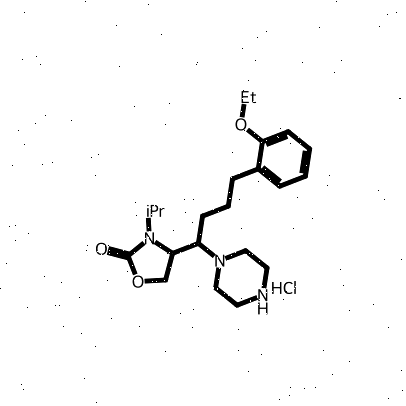 CCOc1ccccc1CCCC(C1COC(=O)N1C(C)C)N1CCNCC1.Cl